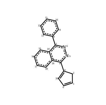 C1=CCC(c2nnc(-c3ccccc3)c3ccccc23)=C1